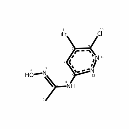 CC(=NO)Nc1cc(C(C)C)c(Cl)nn1